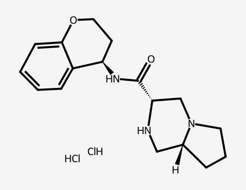 Cl.Cl.O=C(N[C@@H]1CCOc2ccccc21)[C@@H]1CN2CCC[C@@H]2CN1